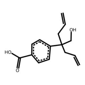 C=CCC(CO)(CC=C)c1ccc(C(=O)O)cc1